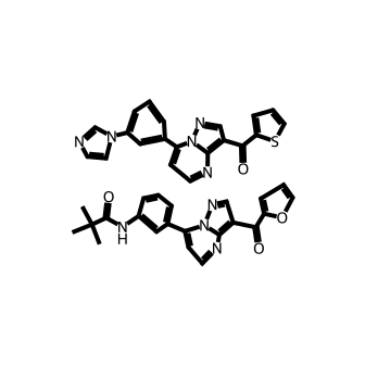 CC(C)(C)C(=O)Nc1cccc(-c2ccnc3c(C(=O)c4ccco4)cnn23)c1.O=C(c1cccs1)c1cnn2c(-c3cccc(-n4ccnc4)c3)ccnc12